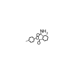 Cc1ccc(OC(=O)c2ccccc2C(N)=O)cc1